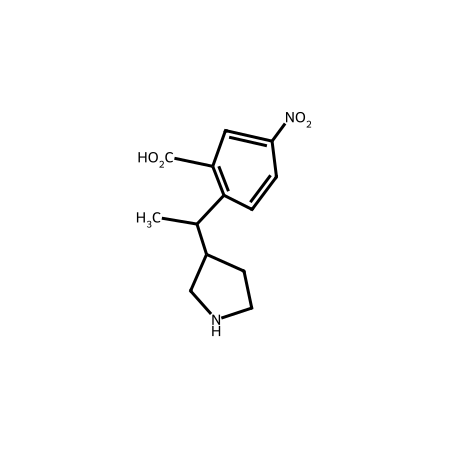 CC(c1ccc([N+](=O)[O-])cc1C(=O)O)C1CCNC1